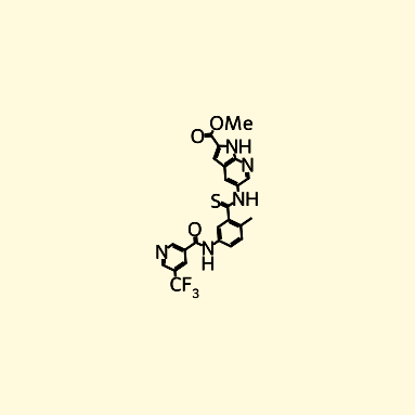 COC(=O)c1cc2cc(NC(=S)c3cc(NC(=O)c4cncc(C(F)(F)F)c4)ccc3C)cnc2[nH]1